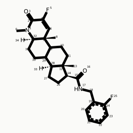 CN1C(=O)C(F)=C[C@]2(C)C3CC[C@]4(C)[C@@H](C(=O)NCc5ccccc5F)CC[C@H]4C3CC[C@@H]12